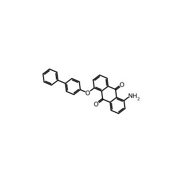 Nc1cccc2c1C(=O)c1cccc(Oc3ccc(-c4ccccc4)cc3)c1C2=O